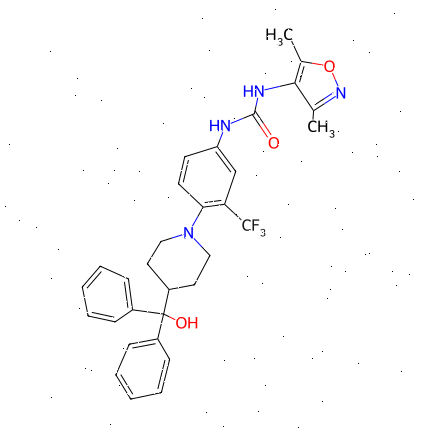 Cc1noc(C)c1NC(=O)Nc1ccc(N2CCC(C(O)(c3ccccc3)c3ccccc3)CC2)c(C(F)(F)F)c1